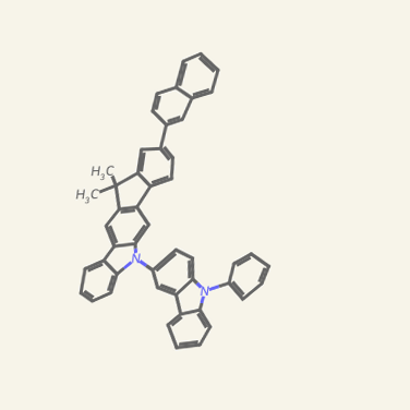 CC1(C)c2cc(-c3ccc4ccccc4c3)ccc2-c2cc3c(cc21)c1ccccc1n3-c1ccc2c(c1)c1ccccc1n2-c1ccccc1